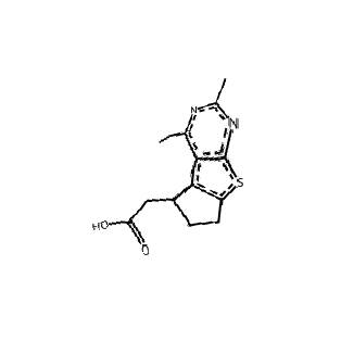 Cc1nc(C)c2c3c(sc2n1)CCC3CC(=O)O